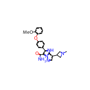 COc1ccccc1Oc1ccc(-c2[nH]c3c(C4CN(C)C4)cnn3c2C(N)=O)cc1